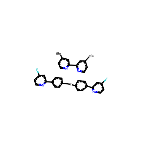 CC(C)(C)c1ccnc(-c2cc(C(C)(C)C)ccn2)c1.Fc1ccnc(-c2cc[c]([Ir][c]3ccc(-c4cc(F)ccn4)cc3)cc2)c1